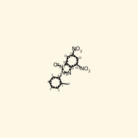 Cc1ccccc1-n1nc2c([N+](=O)[O-])cc([N+](=O)[O-])cc2[n+]1[O-]